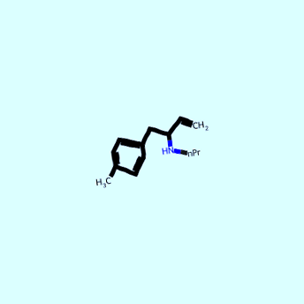 C=CC(Cc1ccc(C)cc1)NCCC